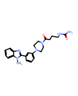 Cn1c(-c2cccc(N3CCN(C(=O)CCCNC(N)=O)CC3)c2)nc2ccccc21